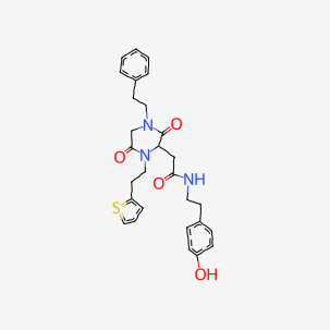 O=C(CC1C(=O)N(CCc2ccccc2)CC(=O)N1CCc1cccs1)NCCc1ccc(O)cc1